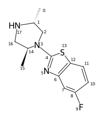 C[C@@H]1CN(c2nc3cc(F)ccc3s2)[C@@H](C)CN1